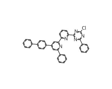 Clc1nc(-c2ccccc2)nc(-c2cccc(-c3cc(-c4ccc(-c5ccccc5)cc4)cc(-c4ccccc4)n3)n2)n1